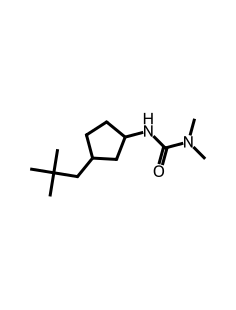 CN(C)C(=O)NC1CCC(CC(C)(C)C)C1